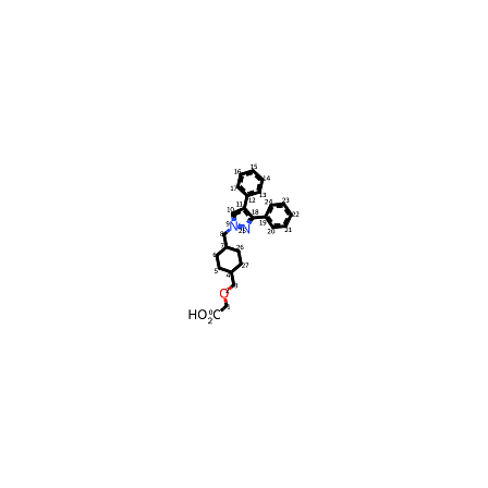 O=C(O)COCC1CCC(Cn2cc(-c3ccccc3)c(-c3ccccc3)n2)CC1